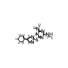 CCNc1nc(Sc2ncc(C3=CCCCC3)cn2)nc(N(C)C)n1